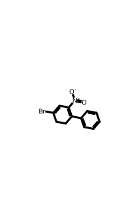 O=[N+]([O-])C1=C(c2ccccc2)CCC(Br)=C1